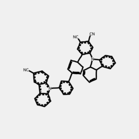 N#Cc1ccc2c(c1)c1ccccc1n2-c1cccc(C2=CCC(c3cc(C#N)c(C#N)cc3N3c4ccccc4C4C=CC=CC43)C=C2)c1